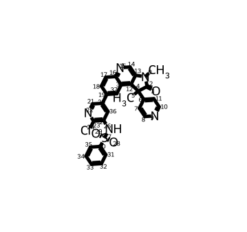 CN1C(=O)C(C)(c2ccncc2)c2c1cnc1ccc(-c3cnc(Cl)c(NS(=O)(=O)c4ccccc4)c3)cc21